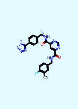 C[C@H](NC(=O)c1cc(C(=O)NCc2ccc(F)c(C#N)c2)ncn1)c1ccc(-c2nnn[nH]2)cc1